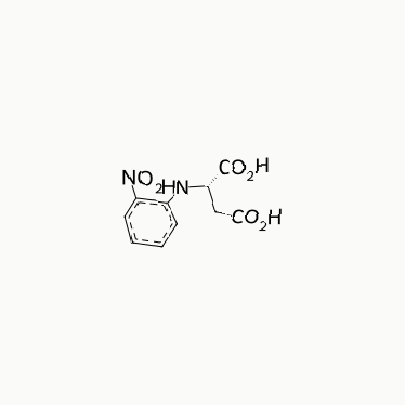 O=C(O)C[C@H](Nc1ccccc1[N+](=O)[O-])C(=O)O